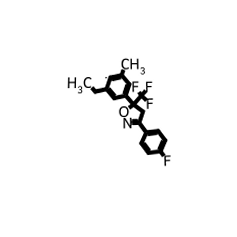 CCc1[c]c(C)cc(C2(C(F)(F)F)CC(c3ccc(F)cc3)=NO2)c1